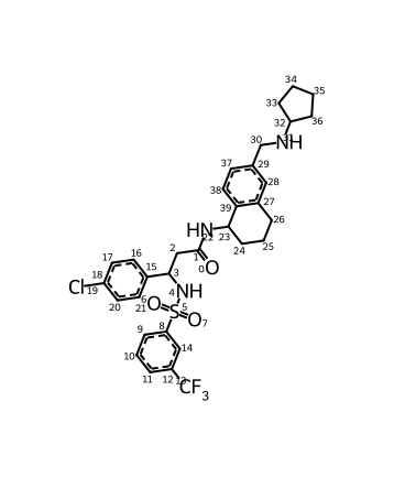 O=C(CC(NS(=O)(=O)c1cccc(C(F)(F)F)c1)c1ccc(Cl)cc1)NC1CCCc2cc(CNC3CCCC3)ccc21